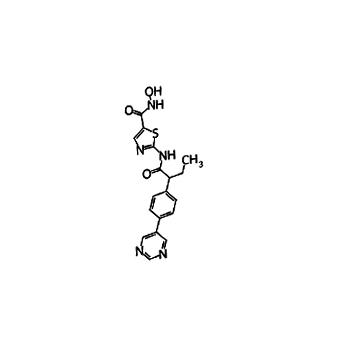 CCC(C(=O)Nc1ncc(C(=O)NO)s1)c1ccc(-c2cncnc2)cc1